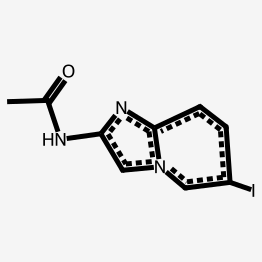 CC(=O)Nc1cn2cc(I)ccc2n1